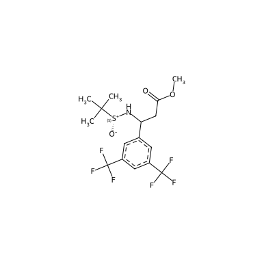 COC(=O)CC(N[S@+]([O-])C(C)(C)C)c1cc(C(F)(F)F)cc(C(F)(F)F)c1